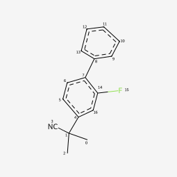 CC(C)(C#N)c1ccc(-c2ccccc2)c(F)c1